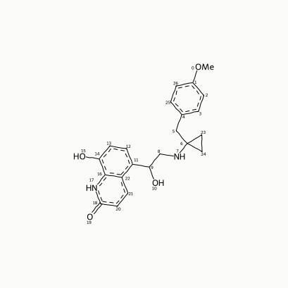 COc1ccc(CC2(NCC(O)c3ccc(O)c4[nH]c(=O)ccc34)CC2)cc1